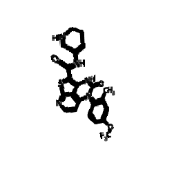 Cc1cc(OC(F)(F)F)ccc1N1C(=O)Nc2c(C(=O)NC3CCCNC3)sc3nccc1c23